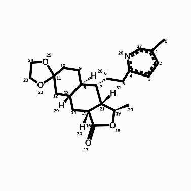 Cc1ccc(CC[C@H]2[C@@H]3CCC4(C[C@H]3C[C@H]3C(=O)O[C@H](C)[C@@H]23)OCCO4)nc1